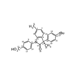 Cc1ccc2c(c1)N(c1ccc(C(=O)O)cc1)C(=O)[C@@]2(C)c1ccc(C(C)(C)C)cc1